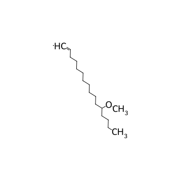 [CH]=CCCCCCCCCCC(CCCC)OC